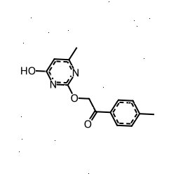 Cc1ccc(C(=O)COc2nc(C)cc(O)n2)cc1